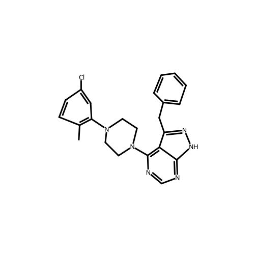 Cc1ccc(Cl)cc1N1CCN(c2ncnc3[nH]nc(Cc4ccccc4)c23)CC1